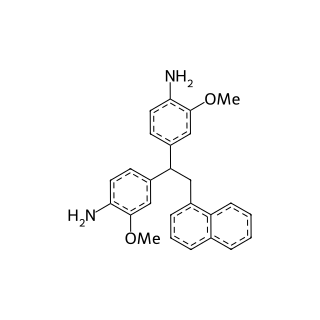 COc1cc(C(Cc2cccc3ccccc23)c2ccc(N)c(OC)c2)ccc1N